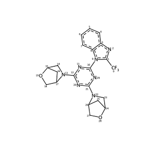 FC(F)(F)c1nc2ccccc2n1-c1nc(N2CC3CC2CO3)nc(N2CC3CC2CO3)n1